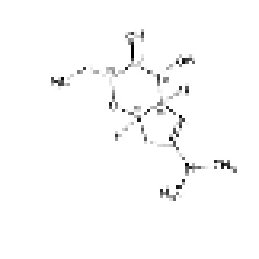 CN(C)C1=N[C@@H]2[C@@H](O)[C@H](O)[C@@H](CC#N)O[C@@H]2C1